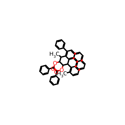 Cc1cccc(-c2ccccc2)c1C1c2c(-c3ccccc3)ccc(-c3ccccc3)c2C(C)C(OC(=O)c2ccccc2)C1OC(=O)c1ccccc1